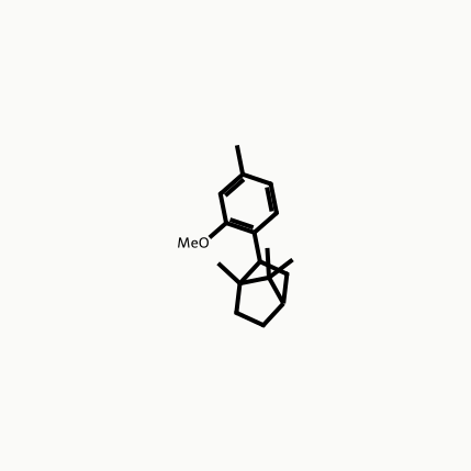 COc1cc(C)ccc1C1CC2CCC1(C)C2(C)C